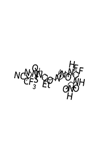 CCc1cc(N2C(=S)N(c3cnc(C#N)c(C(F)(F)F)c3)C(=O)C2(C)C)ccc1OCCN1CCN(CC(=O)Nc2cc(NC3CCC(=O)NC3=O)cc(F)c2F)[C@H](C)C1